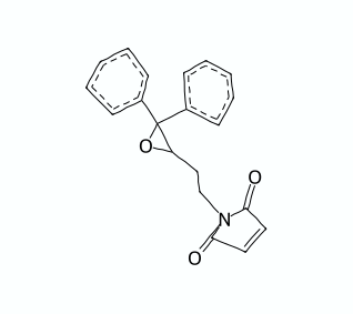 O=C1C=CC(=O)N1CCC1OC1(c1ccccc1)c1ccccc1